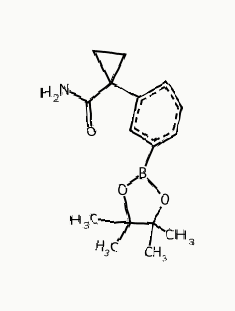 CC1(C)OB(c2cccc(C3(C(N)=O)CC3)c2)OC1(C)C